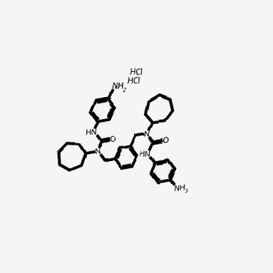 Cl.Cl.Nc1ccc(NC(=O)N(Cc2cccc(CN(C(=O)Nc3ccc(N)cc3)C3CCCCCC3)c2)C2CCCCCC2)cc1